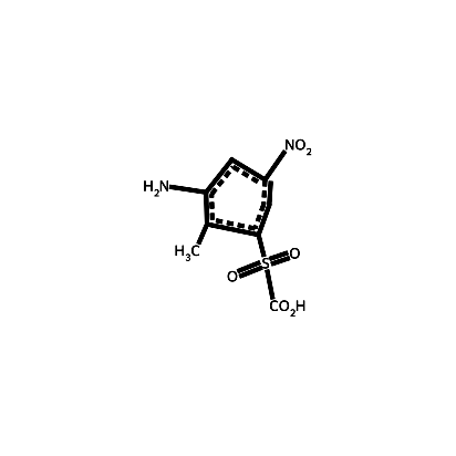 Cc1c(N)cc([N+](=O)[O-])cc1S(=O)(=O)C(=O)O